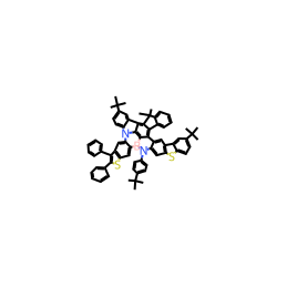 CC(C)(C)c1ccc(N2B3c4cc5sc(-c6ccccc6)c(-c6ccccc6)c5cc4-n4c5ccc(C(C)(C)C)cc5c5c6c(c(c3c54)-c3cc4c(cc32)sc2ccc(C(C)(C)C)cc24)-c2ccccc2C6(C)C)cc1